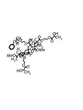 C=C(OC)C(C)(C)CC(C)(CC(C)(CC(C)(CC(C)(CC(C)(CC)C(=O)OCCOC(=O)C(C)O)C(=O)OC)C(=O)OCCOP(C)(=O)Oc1ccccc1)C(=O)OC)C(=O)OCCOC(=O)C(C)O